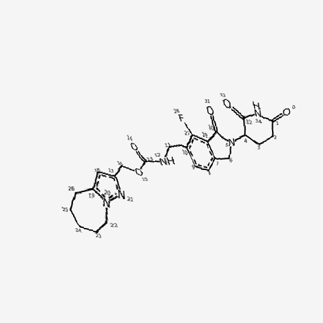 O=C1CCC(N2Cc3ccc(CNC(=O)OCc4cc5n(n4)CCCCC5)c(F)c3C2=O)C(=O)N1